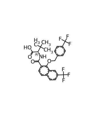 CC(C)(C)[C@@H](NC(=O)c1ccc2ccc(C(F)(F)F)cc2c1OCc1ccc(C(F)(F)F)cc1)C(=O)O